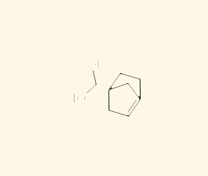 C1=C2CCC(C1)C2.OCO